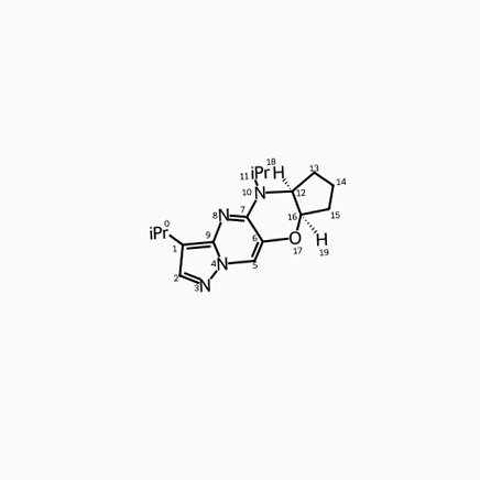 CC(C)c1cnn2cc3c(nc12)N(C(C)C)[C@H]1CCC[C@H]1O3